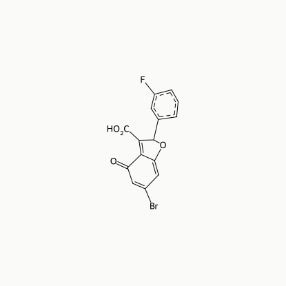 O=C(O)C1=C2C(=O)C=C(Br)C=C2OC1c1cccc(F)c1